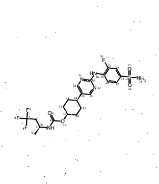 C[C@@H](CC(F)(F)F)NC(=O)O[C@H]1CC[C@@H](c2cnc(Nc3ccc(S(N)(=O)=O)cc3F)nc2)CC1